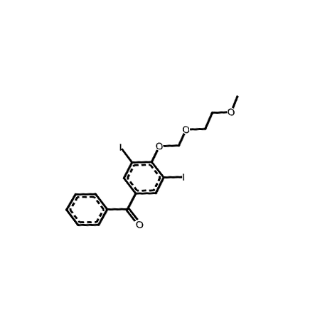 COCCOCOc1c(I)cc(C(=O)c2ccccc2)cc1I